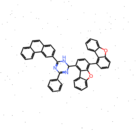 c1ccc(C2=NC(c3ccc(-c4cccc5oc6ccccc6c45)c4oc5ccccc5c34)NC(c3ccc4ccc5ccccc5c4c3)=N2)cc1